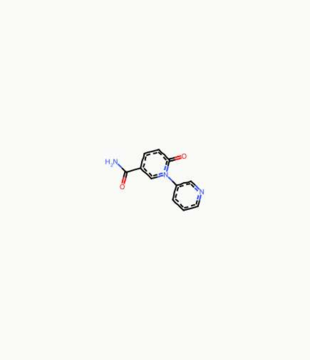 NC(=O)c1ccc(=O)n(-c2cccnc2)c1